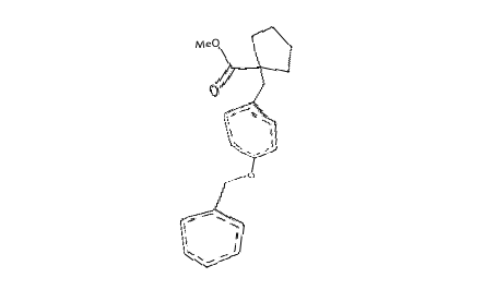 COC(=O)C1(c2ccc(OCc3ccccc3)cc2)CCCC1